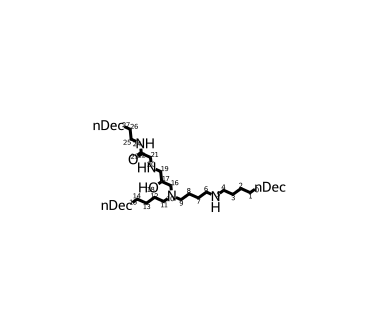 CCCCCCCCCCCCCCNCCCCN(CCCCCCCCCCCCCC)CC(O)CNCC(=O)NCCCCCCCCCCCC